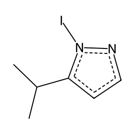 CC(C)c1ccnn1I